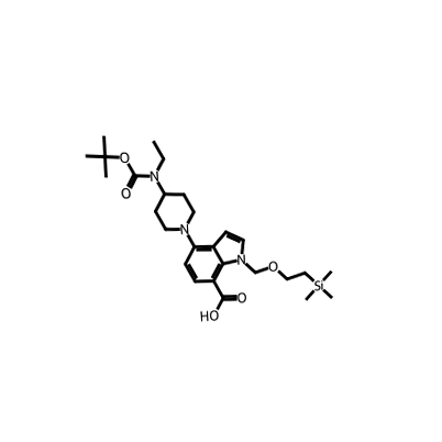 CCN(C(=O)OC(C)(C)C)C1CCN(c2ccc(C(=O)O)c3c2ccn3COCC[Si](C)(C)C)CC1